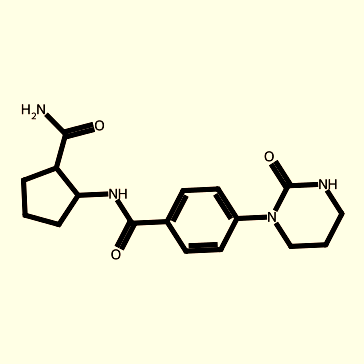 NC(=O)C1CCCC1NC(=O)c1ccc(N2CCCNC2=O)cc1